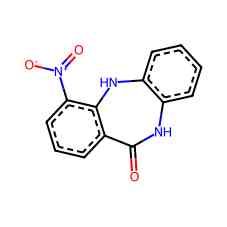 O=C1Nc2ccccc2Nc2c1cccc2[N+](=O)[O-]